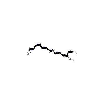 C=C\C(C)=C/C=C/N=C/C=C/C=C\C=C\O